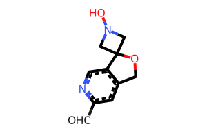 O=Cc1cc2c(cn1)C1(CN(O)C1)OC2